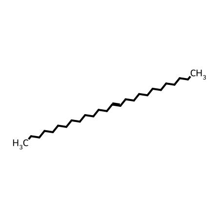 CCCCCCCCCCCC=CCCCCCCCCCCCCC